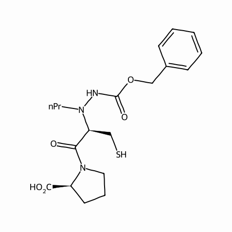 CCCN(NC(=O)OCc1ccccc1)[C@@H](CS)C(=O)N1CCC[C@H]1C(=O)O